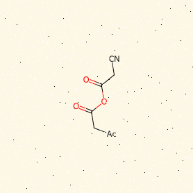 CC(=O)CC(=O)OC(=O)CC#N